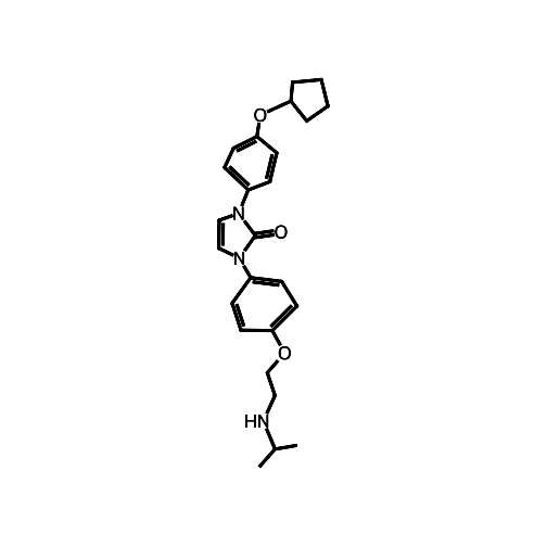 CC(C)NCCOc1ccc(-n2ccn(-c3ccc(OC4CCCC4)cc3)c2=O)cc1